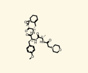 COc1ccc(C[C@H](NC(=O)[C@H](C)NC(=O)CN2CCOCC2)C(=O)N[C@@H](CC2=CCCCC2)C(=O)[C@H]2CO2)cc1